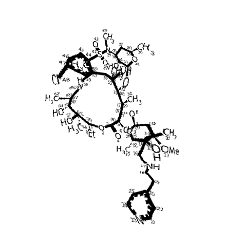 CC[C@H]1OC(=O)[C@H](C)[C@@H](O[C@H]2C[C@@](C)(OC)[C@](O)(CNCCc3ccncc3)[C@H](C)O2)[C@H](C)[C@@H](O[C@@H]2O[C@H](C)C[C@H](N(C)S(=O)(=O)c3ccc(Cl)cc3)[C@H]2O)[C@](C)(O)C[C@@H](C)CN[C@H](C)[C@@H](O)[C@]1(C)O